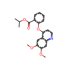 COc1cc2nccc(Oc3ccccc3C(=O)OC(C)C)c2cc1OC